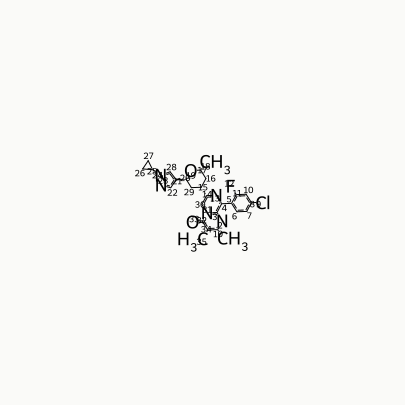 Cc1nc2c(-c3ccc(Cl)cc3F)nc([C@H]3C[C@@H](C)O[C@H](c4cnn(C5CC5)c4)C3)cn2c(=O)c1C